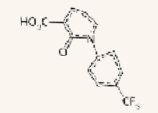 O=C(O)c1cccn(-c2ccc(C(F)(F)F)cc2)c1=O